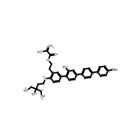 C=C(C)C(=O)OCCc1cc(-c2ccc(-c3ccc(-c4ccc(CCCC)cc4)cc3)cc2CC)ccc1OCCC(CC)(CO)CO